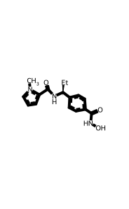 CC[C@H](NC(=O)c1cccn1C)c1ccc(C(=O)NO)cc1